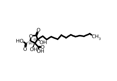 CCCCCCCCCCCC[C@@]1(O)C(=O)O[C@@H](C(=O)O)[C@@]1(O)C(=O)O